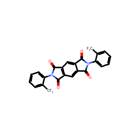 O=c1c2cc3c(=O)n(-c4ccccc4C(F)(F)F)c(=O)c3cc2c(=O)n1-c1ccccc1C(F)(F)F